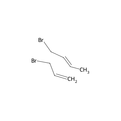 C/C=C/CBr.C=CCBr